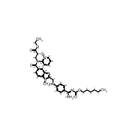 CCCCCCOC(=O)N=C(N)c1ccc(NCc2nc3cc(C(=O)N(CCC(=O)OCC)c4cccc[n+]4[O-])ccc3n2C)cc1